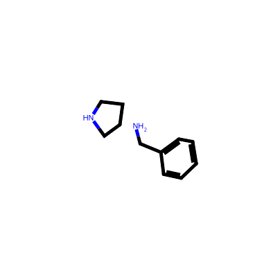 C1CCNC1.NCc1ccccc1